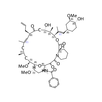 C=CC[C@@H]1/C=C(\C)C[C@H](C)C[C@H](OC)[C@H]2O[C@@](NC(=O)c3ccccc3)(C(=O)C(=O)N3CCCC[C@H]3C(=O)O[C@H](/C(C)=C/[C@@H]3CC[C@@H](O)[C@H](OC)C3)[C@H](C)[C@@H](O)CC1=O)[C@H](C)C[C@@H]2OC